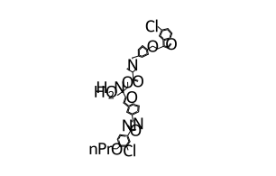 CCCOc1ccc(-c2nc(-c3ccc4oc(C(N)(CO)COC(=O)C5CN(Cc6ccc(OCc7coc8ccc(Cl)cc78)cc6)C5)cc4c3)no2)cc1Cl